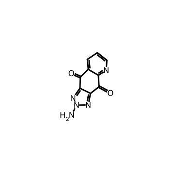 Nn1nc2c(n1)C(=O)c1ncccc1C2=O